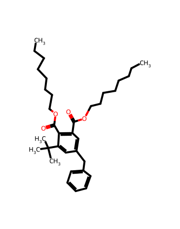 CCCCCCCCOC(=O)c1cc(Cc2ccccc2)cc(C(C)(C)C)c1C(=O)OCCCCCCCC